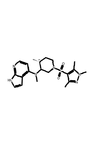 Cc1nn(C)c(C)c1S(=O)(=O)N1CC[C@@H](C)C(N(C)c2ccnc3[nH]ccc23)C1